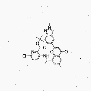 Cc1cc(C(C)Nc2ccc(Cl)nc2C(=O)OC(C)(C)C)c2oc(-c3ccc4nn(C)cc4c3)cc(=O)c2c1